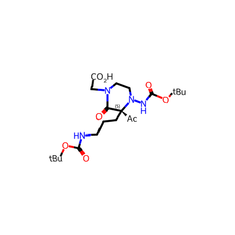 CC(=O)[C@@]1(CCCNC(=O)OC(C)(C)C)C(=O)N(CC(=O)O)CCN1NC(=O)OC(C)(C)C